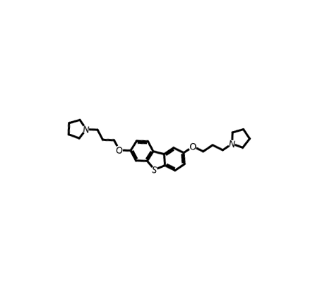 c1cc2c(cc1OCCCN1CCCC1)sc1ccc(OCCCN3CCCC3)cc12